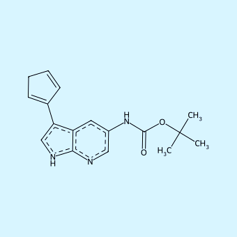 CC(C)(C)OC(=O)Nc1cnc2[nH]cc(C3=CCC=C3)c2c1